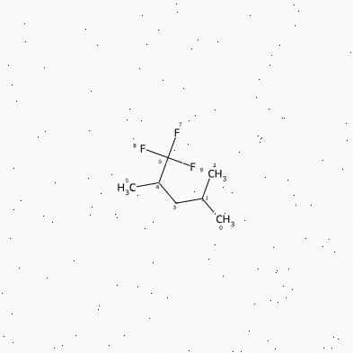 C[C](C)CC(C)C(F)(F)F